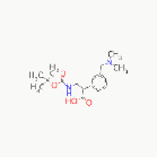 CN(C)Cc1cccc(C(CNC(=O)OC(C)(C)C)C(=O)O)c1